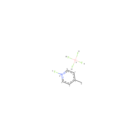 Cc1cc[n+](F)cc1.F[B-](F)(F)F